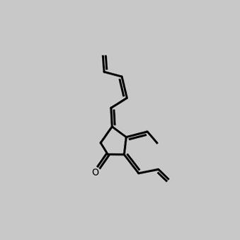 C=C\C=C/C=C1/CC(=O)C(=C/C=C)/C1=C\C